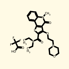 CCN(CC)C(=O)c1sc2c(c1OCCN1CCOCC1)c(=O)n(C)c1ccccc21.O=C(O)C(F)(F)F